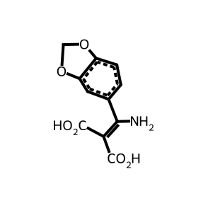 NC(=C(C(=O)O)C(=O)O)c1ccc2c(c1)OCO2